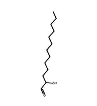 CCCCCCCCCCCC(S)C=O